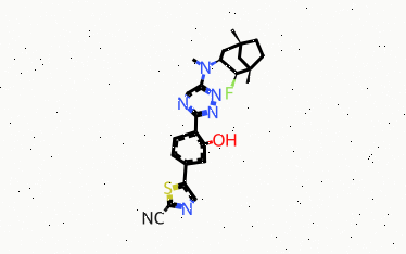 CN(c1cnc(-c2ccc(-c3cnc(C#N)s3)cc2O)nn1)[C@H]1C[C@]2(C)CC[C@@](C)(C2)[C@H]1F